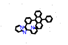 c1ccc(-c2c3ccccc3c(-c3cccc(-c4c(-c5ccccn5)nc5ccccn45)c3)c3ccccc23)cc1